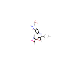 Cc1noc(C)c1-c1cc(C(Nc2ccc(C(=O)N(C)CCC(=O)O)cc2)C2CCCCC2)c(C)o1